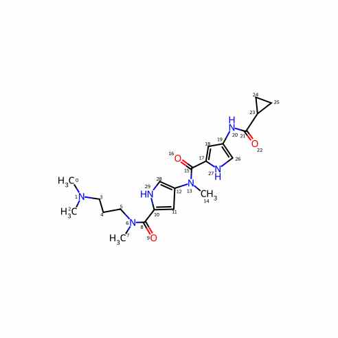 CN(C)CCCN(C)C(=O)c1cc(N(C)C(=O)c2cc(NC(=O)C3CC3)c[nH]2)c[nH]1